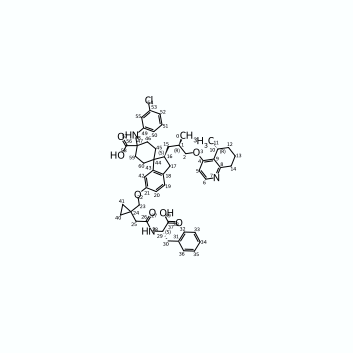 C[C@@H](COc1ccnc2c1[C@H](C)CCC2)C[C@H]1Cc2ccc(OCC3(CC(=O)N[C@@H](Cc4ccccc4)C(=O)O)CC3)cc2C12CCC(Nc1cccc(Cl)c1)(C(=O)O)CC2